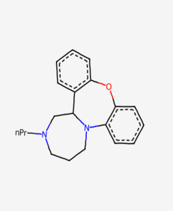 CCCN1CCCN2c3ccccc3Oc3ccccc3C2C1